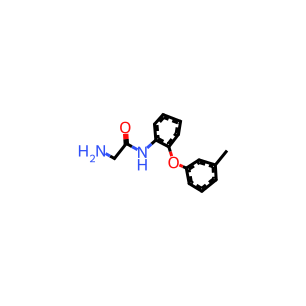 Cc1cccc(Oc2ccccc2NC(=O)CN)c1